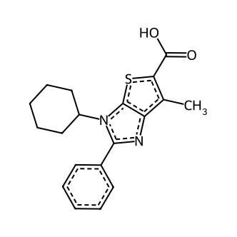 Cc1c(C(=O)O)sc2c1nc(-c1ccccc1)n2C1CCCCC1